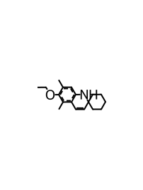 CCOc1c(C)cc2c(c1C)C=CC1(CCCCC1)N2